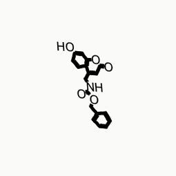 O=C(NCc1cc(=O)oc2cc(O)ccc12)OCc1ccccc1